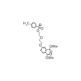 COC(=O)c1ccc(OCCOCCOS(=O)(=O)c2ccc(C)cc2)cc1C(=O)OC